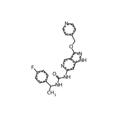 CC(NC(=O)Nc1cc2[nH]nc(OCc3ccncc3)c2cn1)c1ccc(F)cc1